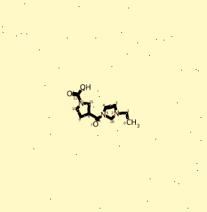 CCN1C=CN(C(=O)C2CCN(C(=O)O)C2)C1